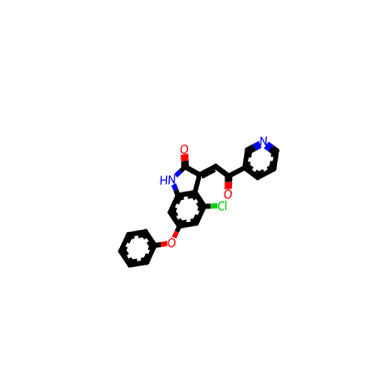 O=C1Nc2cc(Oc3ccccc3)cc(Cl)c2/C1=C\C(=O)c1cccnc1